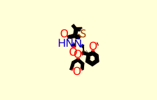 COc1ccccc1[C@H](Cn1c(=O)[nH]c(=O)c2c(C)csc21)OC1CCOCC1